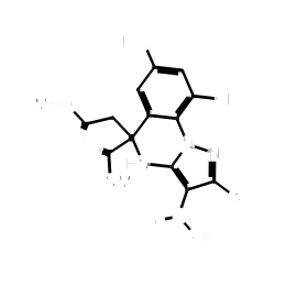 CNC(=O)C1(CC(=O)OC)Nc2c([S+](C)[O-])c(C(C)=O)nn2-c2c(Cl)cc(C(F)(F)F)cc21